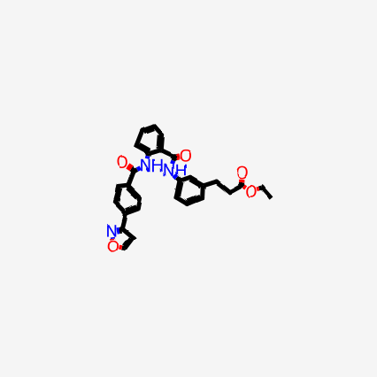 CCOC(=O)CCc1cccc(NC(=O)c2ccccc2NC(=O)c2ccc(-c3ccon3)cc2)c1